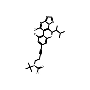 CC(C)C(C)Nc1c(-c2c(F)cc(C#CCCN(C(=O)O)C(C)(C)C)cc2F)c(Cl)nc2ncnn12